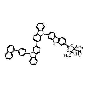 CC1(C)OB(c2ccc3c(c2)sc2cc(-n4c5ccccc5c5ccc(-c6ccc7c8ccccc8n(-c8ccc(-c9cccc%10ccccc9%10)cc8)c7c6)cc54)ccc23)OC1(C)C